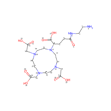 NCCNC(=O)CCC(C(=O)O)N1CCN(CC(=O)O)CCN(CC(=O)O)CCN(CC(=O)O)CC1